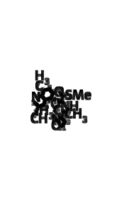 C#Cc1cnc2c(C)cc(OC(SC)C(=O)NC(C)(C)c3ccon3)cc2c1